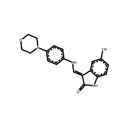 N#Cc1ccc2c(c1)/C(=C\Nc1ccc(N3CCOCC3)cc1)C(=O)N2